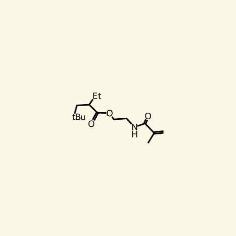 C=C(C)C(=O)NCCOC(=O)C(CC)CC(C)(C)C